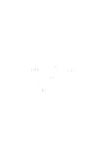 CCC(=O)Oc1c[nH]c2cccc(Br)c12